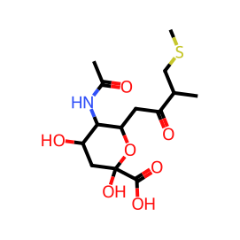 CSCC(C)C(=O)CC1OC(O)(C(=O)O)CC(O)C1NC(C)=O